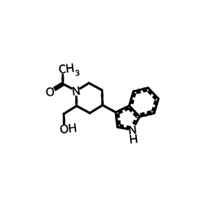 CC(=O)N1CCC(c2c[nH]c3ccccc23)CC1CO